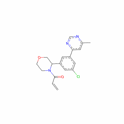 C=CC(=O)N1CCOCC1c1cc(Cl)cc(-c2cc(C)ncn2)c1